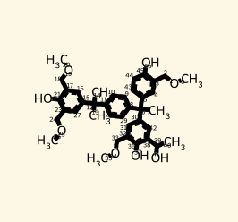 COCc1cc(C(C)(c2ccc(C(C)(C)c3cc(COC)c(O)c(COC)c3)cc2)c2cc(COC)c(O)c(C(C)O)c2)ccc1O